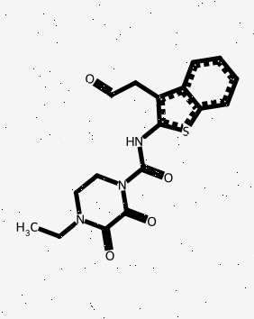 CCN1CCN(C(=O)Nc2sc3ccccc3c2C[C]=O)C(=O)C1=O